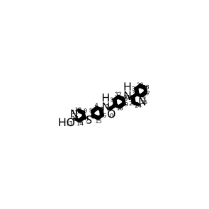 O=C(Nc1ccc(Sc2ccnc(O)c2)cc1)c1ccc(Nc2ccnc3ccccc23)cc1